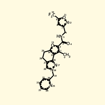 Cc1c(C(=O)NCc2cc(C(F)(F)F)on2)oc2c1-c1nn(Cc3ccccn3)cc1CC2